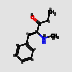 CCC(=O)[C@H](Cc1ccccc1)NC